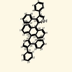 c1ccc(-c2c[nH]c(-c3c4ccccc4c(-c4scc(-c5ccccc5)c4-c4ccccc4)c4ccccc34)c2-c2ccccc2)cc1